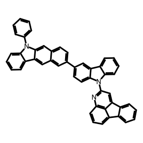 c1ccc(-n2c3ccccc3c3cc4cc(-c5ccc6c(c5)c5ccccc5n6-c5cc6c7c(cccc7n5)-c5ccccc5-6)ccc4cc32)cc1